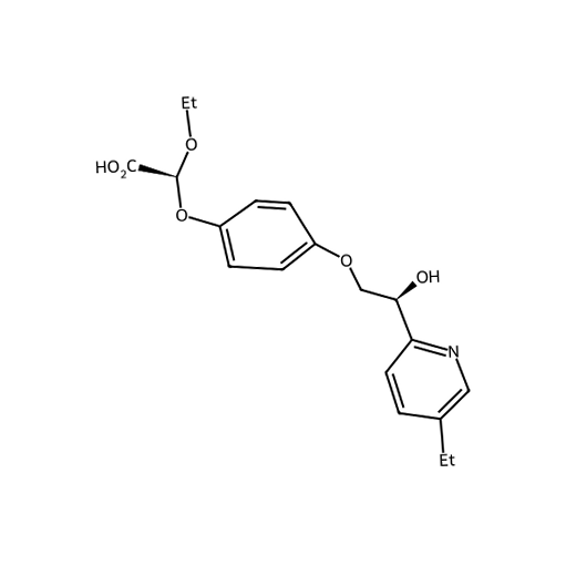 CCO[C@@H](Oc1ccc(OC[C@@H](O)c2ccc(CC)cn2)cc1)C(=O)O